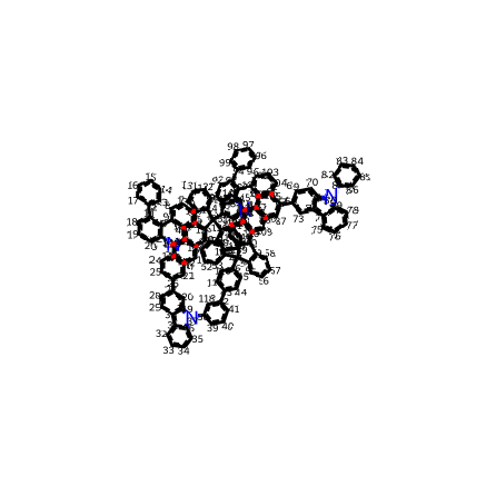 c1ccc(-c2ccccc2-c2c(-c3ccccc3)cccc2N(c2ccc(-c3ccc4c5ccccc5n(-c5cccc(-c6ccc(C7(c8ccccc8)c8ccccc8-c8cc(N(c9ccc(-c%10ccc%11c(c%10)c%10ccccc%10n%11-c%10ccccc%10)cc9)c9cccc(-c%10ccccc%10)c9-c9ccccc9-c9ccccc9)ccc87)cc6)c5)c4c3)cc2)c2ccc3c(c2)-c2ccccc2C3(c2ccccc2)c2ccccc2)cc1